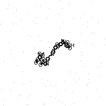 CCOc1cc([C@@H](CS(C)(=O)=O)N2C(=O)c3ccnc(N4CCC(CCN5CCN(c6ccc(Oc7cc8c(cc7F)c(N7CCC(=O)NC7=O)nn8C)cc6)CC5)CC4)c3C2=O)ccc1OC